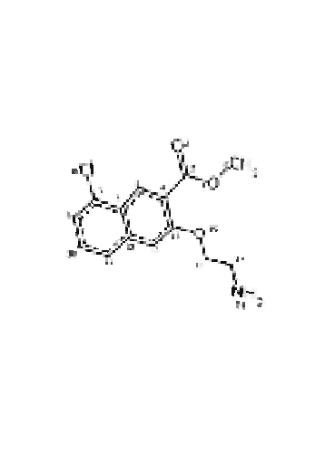 COC(=O)c1cc2c(Cl)cccc2cc1OCCN